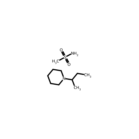 CCC(C)N1CCCCC1.CS(N)(=O)=O